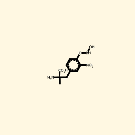 C[C@](N)(Cc1ccc(OBO)c([N+](=O)[O-])c1)C(=O)O